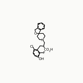 O=C(O)C(Cc1c(Cl)ccc(O)c1F)CN1CCC2(CC1)OCc1ccccc12